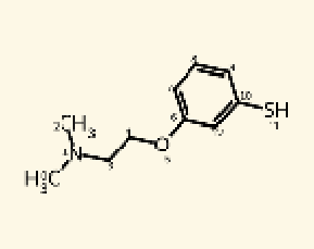 CN(C)CCOc1cccc(S)c1